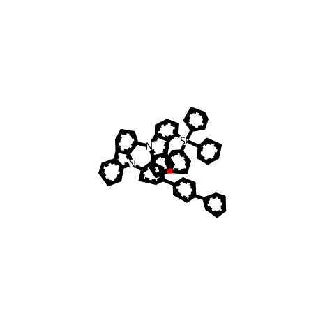 c1ccc(-c2ccc(-c3ccc(-n4c5ccccc5c5cccc(-n6c7ccccc7c7c([Si](c8ccccc8)(c8ccccc8)c8ccccc8)cccc76)c54)cc3)cc2)cc1